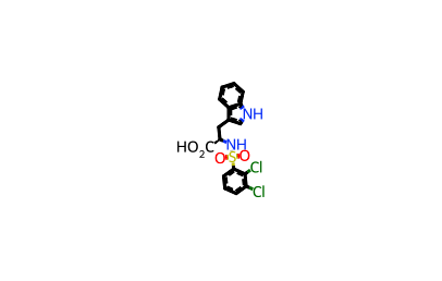 O=C(O)[C@@H](Cc1c[nH]c2ccccc12)NS(=O)(=O)c1cccc(Cl)c1Cl